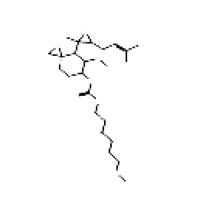 COCCCCCCNC(=O)OC1CC[C@]2(CO2)C(C2(C)OC2CC=C(C)C)C1OC